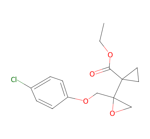 CCOC(=O)C1(C2(COc3ccc(Cl)cc3)CO2)CC1